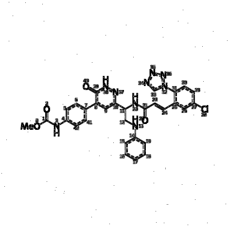 COC(=O)Nc1ccc(-c2cc(C(CNc3ccccc3)NC(=O)C=Cc3cc(Cl)ccc3-n3cnnn3)n[nH]c2=O)cc1